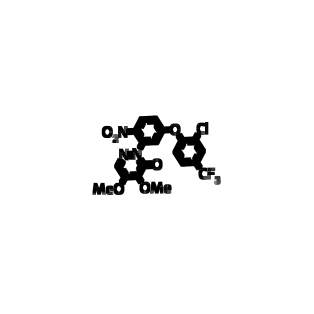 COc1cnn(-c2cc(Oc3ccc(C(F)(F)F)cc3Cl)ccc2[N+](=O)[O-])c(=O)c1OC